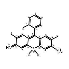 CC1=CC2=C(c3ccccc3C)c3cc(C)c(N)cc3S(C)(C)C2=CC1=N